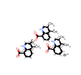 Cc1cnc2c(C(=O)[O-])cccc2c1C.Cc1cnc2c(C(=O)[O-])cccc2c1C.Cc1cnc2c(C(=O)[O-])cccc2c1C.[Al+3]